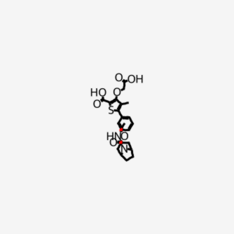 CCOC(=O)N1C2CCC1CC(Nc1cccc(-c3sc(C(=O)O)c(OCC(=O)O)c3C)c1)C2